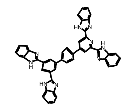 c1ccc2[nH]c(-c3cc(-c4ccc(-c5cc(-c6nc7ccccc7[nH]6)nc(-c6nc7ccccc7[nH]6)c5)cc4)cc(-c4nc5ccccc5[nH]4)c3)nc2c1